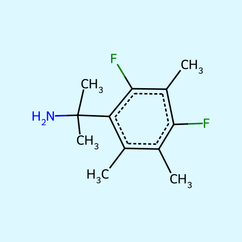 Cc1c(C)c(C(C)(C)N)c(F)c(C)c1F